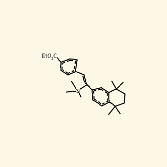 CCOC(=O)c1ccc(C=C(c2ccc3c(c2)C(C)(C)CCC3(C)C)[Si](C)(C)C)cc1